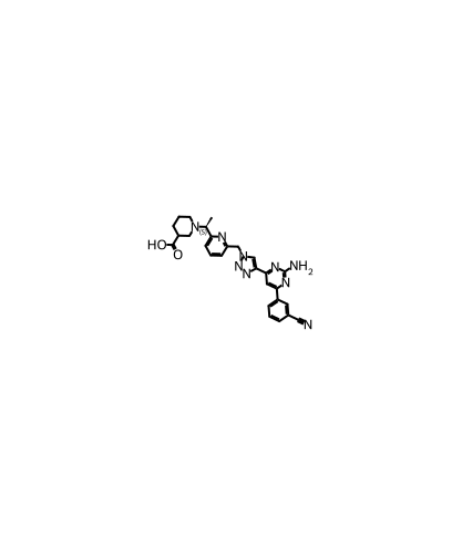 C[C@@H](c1cccc(Cn2cc(-c3cc(-c4cccc(C#N)c4)nc(N)n3)nn2)n1)N1CCCC(C(=O)O)C1